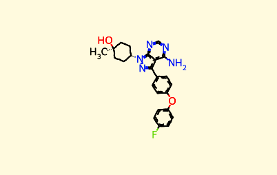 C[C@]1(O)CC[C@H](n2nc(-c3ccc(Oc4ccc(F)cc4)cc3)c3c(N)ncnc32)CC1